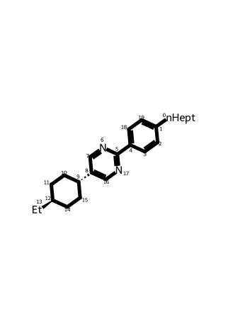 CCCCCCCc1ccc(-c2ncc([C@H]3CC[C@H](CC)CC3)cn2)cc1